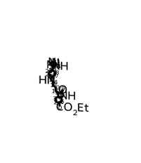 CCOC(=O)c1ccc2c(c1)NC(=O)C2=CCCCNc1ccc(-c2nnn[nH]2)cc1